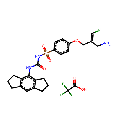 NCC(=CF)COc1ccc(S(=O)(=O)NC(=O)Nc2c3c(cc4c2CCC4)CCC3)cc1.O=C(O)C(F)(F)F